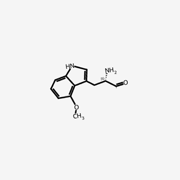 COc1cccc2[nH]cc(C[C@H](N)[C]=O)c12